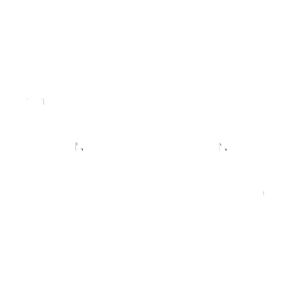 CCCc1ccc(-c2ccc(CC)nc2)cn1